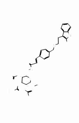 CC(=O)O[C@H]1[C@H](ONC(=O)/C=C/c2ccc(CNCCc3c(C)[nH]c4ccccc34)cc2)O[C@H](CF)[C@H](CC(=O)O)[C@@H]1OC(C)=O